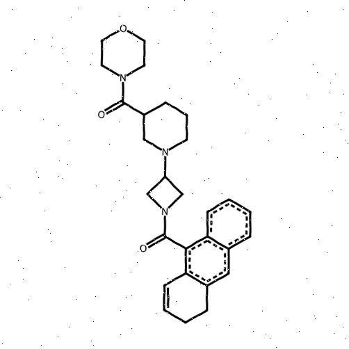 O=C(c1c2c(cc3ccccc13)CCC=C2)N1CC(N2CCCC(C(=O)N3CCOCC3)C2)C1